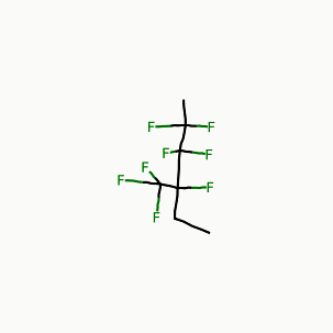 CCC(F)(C(F)(F)F)C(F)(F)C(C)(F)F